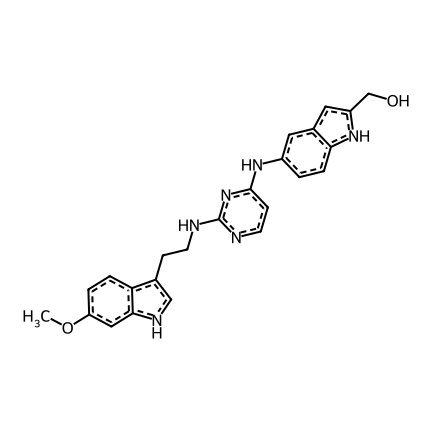 COc1ccc2c(CCNc3nccc(Nc4ccc5[nH]c(CO)cc5c4)n3)c[nH]c2c1